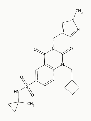 Cn1cc(Cn2c(=O)c3cc(S(=O)(=O)NC4(C)CC4)ccc3n(CC3CCC3)c2=O)cn1